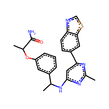 Cc1nc(NC(C)c2cccc(OC(C)C(N)=O)c2)cc(-c2ccc3ncsc3c2)n1